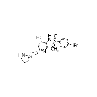 Cc1nc(OC[C@@H]2CCCN2)ccc1NS(=O)(=O)c1ccc(C(C)C)cc1.Cl